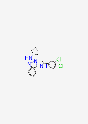 CC(Nc1nc(NC2CCCC2)nc2ccccc12)c1ccc(Cl)c(Cl)c1